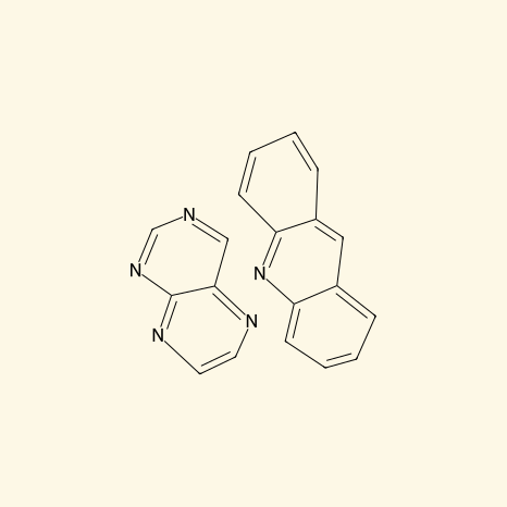 c1ccc2nc3ccccc3cc2c1.c1cnc2ncncc2n1